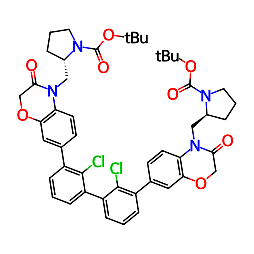 CC(C)(C)OC(=O)N1CCC[C@H]1CN1C(=O)COc2cc(-c3cccc(-c4cccc(-c5ccc6c(c5)OCC(=O)N6C[C@@H]5CCCN5C(=O)OC(C)(C)C)c4Cl)c3Cl)ccc21